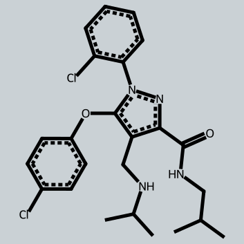 CC(C)CNC(=O)c1nn(-c2ccccc2Cl)c(Oc2ccc(Cl)cc2)c1CNC(C)C